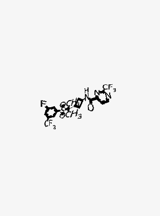 CC(C)([C@H]1C[C@@H](NC(=O)c2ccnc(C(F)(F)F)n2)C1)S(=O)(=O)c1cc(F)cc(C(F)(F)F)c1